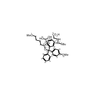 CCCCNNCC(=O)O.COCCCCN(NP(O)O)OC(c1ccccc1)(c1ccccc1)c1ccc(OC)cc1